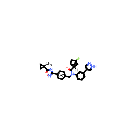 O=C([C@@H]1CC2(F)CC1C2)N(CC12CCC(c3noc(C4(C(F)(F)F)CC4)n3)(CC1)CC2)c1cccc(-c2cn[nH]c2)c1